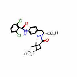 CC1(C)[C@@H](C(=O)N[C@@H](Cc2ccc(NC(=O)c3c(Cl)cccc3Cl)cc2)C(=O)O)C[C@H]1C(=O)O